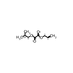 C=CCOC(=O)C(=O)OCC(C)C